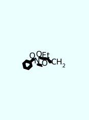 C=CCC1(CC)OCCN(C(=O)c2ccccc2)C1=O